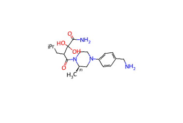 CC(C)CC(C(=O)N1CCN(c2ccc(CN)cc2)C[C@H]1C)C(O)(O)C(N)=O